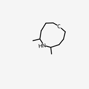 CC1CCCCCCCC(C)N1